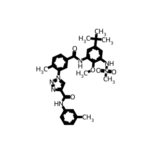 COc1c(NC(=O)c2ccc(C)c(-n3cc(C(=O)Nc4cccc(C)c4)nn3)c2)cc(C(C)(C)C)cc1NS(C)(=O)=O